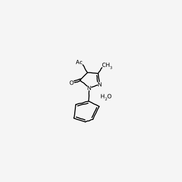 CC(=O)C1C(=O)N(c2ccccc2)N=C1C.O